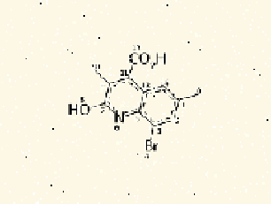 Cc1cc(Br)c2nc(O)c(C)c(C(=O)O)c2c1